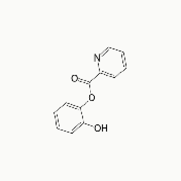 O=C(Oc1ccccc1O)c1ccccn1